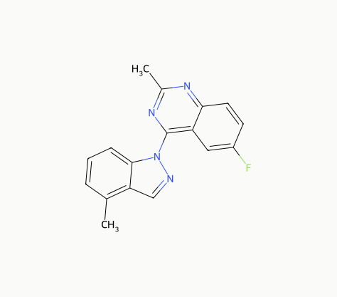 Cc1nc(-n2ncc3c(C)cccc32)c2cc(F)ccc2n1